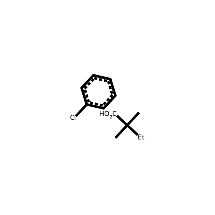 CCC(C)(C)C(=O)O.Clc1ccccc1